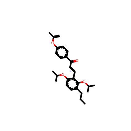 C=C(C)Oc1ccc(C(=O)/C=C/c2c(OC(C)C)ccc(CCC)c2OC(C)C)cc1